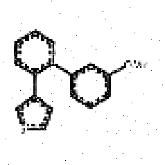 COc1cccc(-c2ccccc2-c2ccsc2)c1